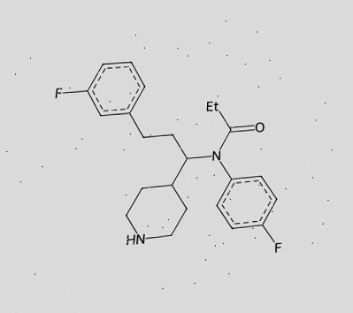 CCC(=O)N(c1ccc(F)cc1)C(CCc1cccc(F)c1)C1CCNCC1